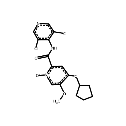 COc1c[n+]([O-])c(C(=O)Nc2c(Cl)cncc2Cl)cc1OC1CCCC1